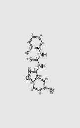 Fc1ccccc1NC(=S)Nc1noc2ccc(Br)cc12